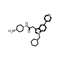 N[C@H]1CC[C@H](NC(=O)Cc2cn(CC3CCCCC3)c3ccc(-c4ccncc4)cc23)CC1